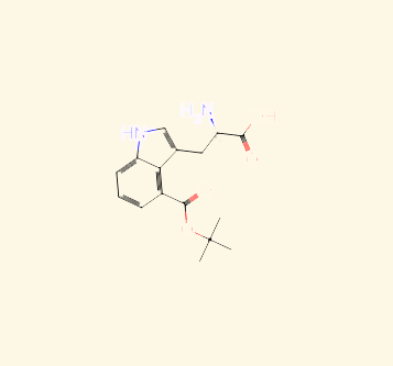 CC(C)(C)OC(=O)c1cccc2[nH]cc(C[C@@H](N)C(=O)O)c12